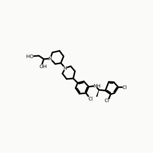 C[C@@H](Nc1cc(C2CCN(C3CCCN(C(O)CO)C3)CC2)ccc1Cl)c1ccc(Cl)cc1Cl